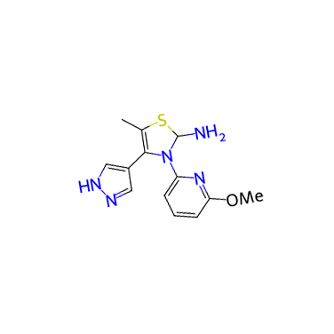 COc1cccc(N2C(c3cn[nH]c3)=C(C)SC2N)n1